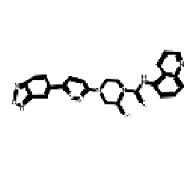 CC(C)C1CN(c2ccc(-c3ccc4nonc4c3)nn2)CCN1C(=S)Nc1cccc2ncccc12